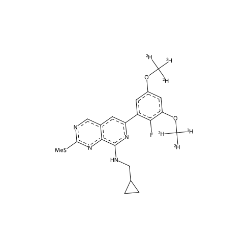 [2H]C([2H])([2H])Oc1cc(OC([2H])([2H])[2H])c(F)c(-c2cc3cnc(SC)nc3c(NCC3CC3)n2)c1